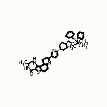 CC1CNc2c(sc3ccc4nc(-c5ccc([C@H]6CC[C@H](CO[Si](c7ccccc7)(c7ccccc7)C(C)(C)C)CC6)nc5)ccc4c23)C(=O)N1